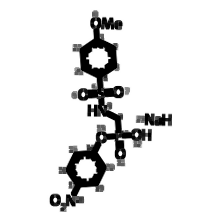 COc1ccc(S(=O)(=O)NCP(=O)(O)Oc2ccc([N+](=O)[O-])cc2)cc1.[NaH]